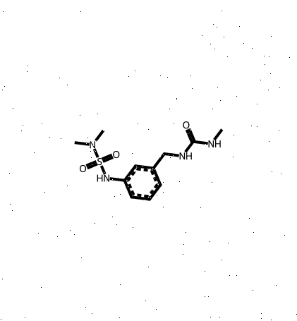 CNC(=O)NCc1cccc(NS(=O)(=O)N(C)C)c1